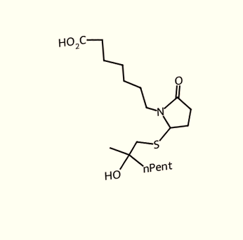 CCCCCC(C)(O)CSC1CCC(=O)N1CCCCCCC(=O)O